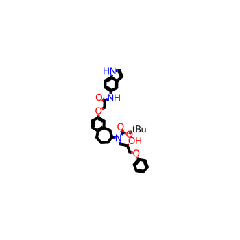 CC(C)(C)OC(=O)N(C[C@H](O)COc1ccccc1)C1CCCc2ccc(OCC(=O)Nc3ccc4[nH]ccc4c3)cc2C1